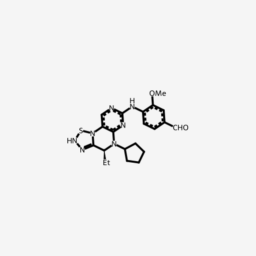 CC[C@H]1C2=NNSN2c2cnc(Nc3ccc(C=O)cc3OC)nc2N1C1CCCC1